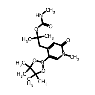 CNC(=O)OC(C)(C)Cc1cc(=O)n(C)cc1B1OC(C)(C)C(C)(C)O1